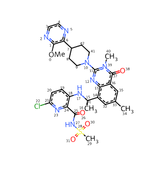 COc1nccnc1C1CCN(c2nc3c([C@@H](C)Nc4ccc(Cl)nc4C(=O)NS(C)(=O)=O)cc(C)cc3c(=O)n2C)CC1